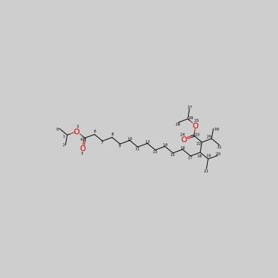 CC(C)OC(=O)CCCCCCCCCCCCC(C(C)C)C(C(=O)OC(C)C)C(C)C